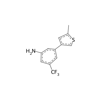 Cc1cc(-c2cc(N)cc(C(F)(F)F)c2)cs1